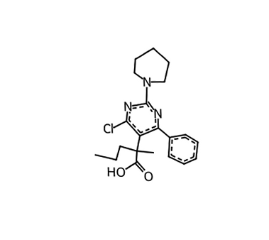 CCCC(C)(C(=O)O)c1c(Cl)nc(N2CCCCC2)nc1-c1ccccc1